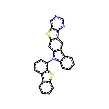 c1ccc2c(c1)sc1c(-n3c4ccccc4c4cc5c(cc43)sc3cncnc35)cccc12